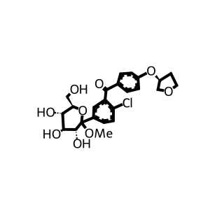 COC1(c2ccc(Cl)c(C(=O)c3ccc(O[C@H]4CCOC4)cc3)c2)O[C@H](CO)[C@@H](O)[C@H](O)[C@H]1O